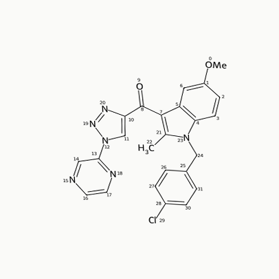 COc1ccc2c(c1)c(C(=O)c1cn(-c3cnccn3)nn1)c(C)n2Cc1ccc(Cl)cc1